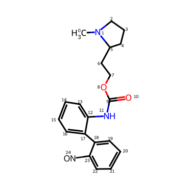 CN1CCCC1CCOC(=O)Nc1ccccc1-c1ccccc1N=O